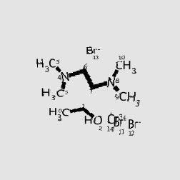 CCO.CN(C)CCN(C)C.[Br-].[Br-].[Br-].[Cr+3]